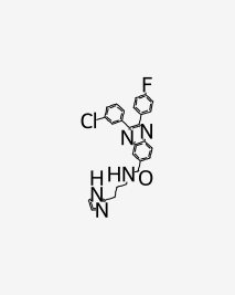 O=C(NCCCc1ncc[nH]1)c1ccc2nc(-c3ccc(F)cc3)c(-c3cccc(Cl)c3)nc2c1